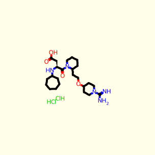 Cl.Cl.N=C(N)N1CCC(OCCC2CCCCN2C(=O)[C@H](CC(=O)O)NC2CCCCCC2)CC1